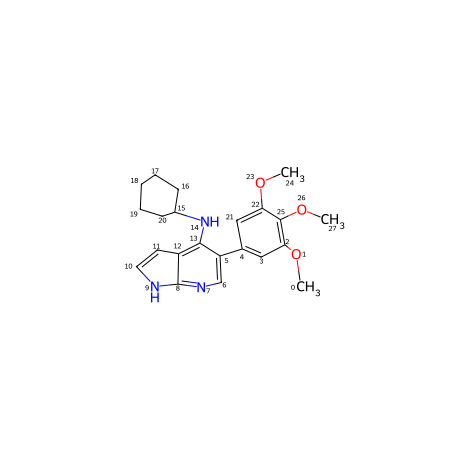 COc1cc(-c2cnc3[nH]ccc3c2NC2CCCCC2)cc(OC)c1OC